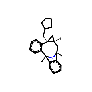 C[C@]12N[C@](C)(C[C@@H]3C[C@]3(CC3CCCC3)c3ccccc31)c1ccccc12